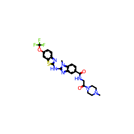 CN1CCN(C(=O)CNC(=O)c2ccc3c(c2)nc(Nc2nc4ccc(OC(F)(F)F)cc4s2)n3C)CC1